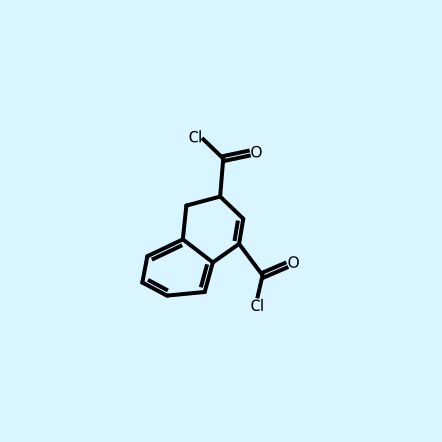 O=C(Cl)C1=CC(C(=O)Cl)Cc2ccccc21